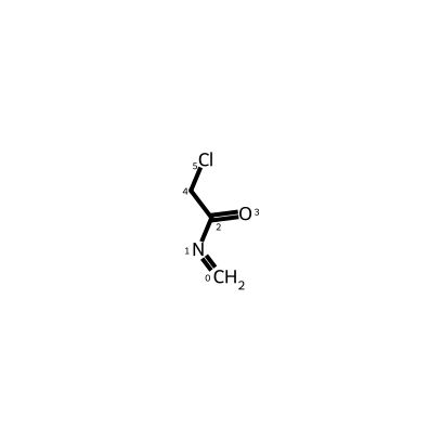 C=NC(=O)CCl